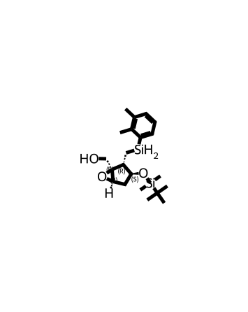 Cc1cccc([SiH2]C[C@@H]2[C@@H](O[Si](C)(C)C(C)(C)C)C[C@H]3O[C@@]23CO)c1C